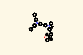 CC1(C)c2ccccc2N(c2ccc(-c3ccc(N(c4ccc(-c5ccccc5)cc4)c4ccc(-c5ccccc5)cc4)cc3)cc2)c2ccc(-c3ccc4c(c3)C3(c5ccccc5Oc5ccccc53)c3ccccc3-4)cc21